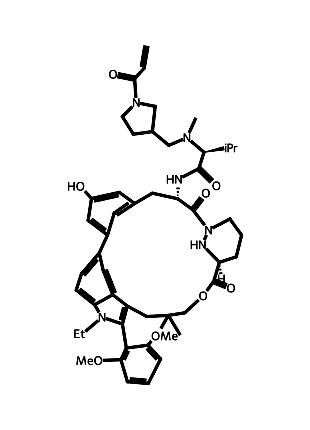 C=CC(=O)N1CCC(CN(C)[C@H](C(=O)N[C@H]2Cc3cc(O)cc(c3)-c3ccc4c(c3)c(c(-c3c(OC)cccc3OC)n4CC)CC(C)(C)COC(=O)[C@@H]3CCCN(N3)C2=O)C(C)C)C1